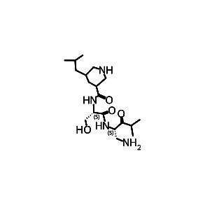 CC(C)CC1CNCC(C(=O)N[C@@H](CO)C(=O)N[C@@H](CN)C(=O)C(C)C)C1